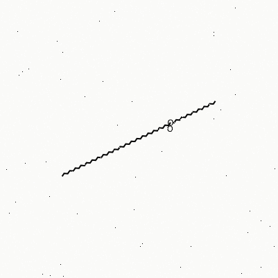 CCCCCCCCCCCCCCCCCCCCCCCCCCCCCCCCCCCCCCC(=O)OCCCCCCCCCCCCCCCC